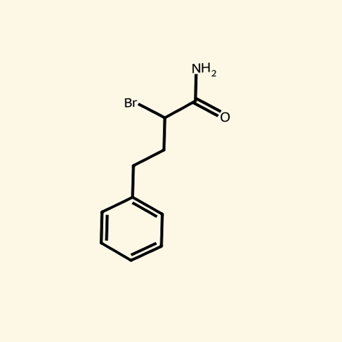 NC(=O)C(Br)CCc1ccccc1